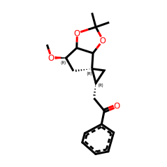 CO[C@@H]1C[C@@]2(C[C@@H]2CC(=O)c2ccccc2)C2OC(C)(C)OC21